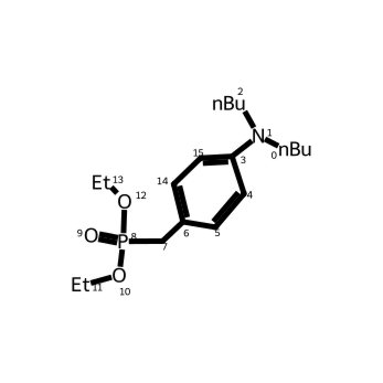 CCCCN(CCCC)c1ccc(CP(=O)(OCC)OCC)cc1